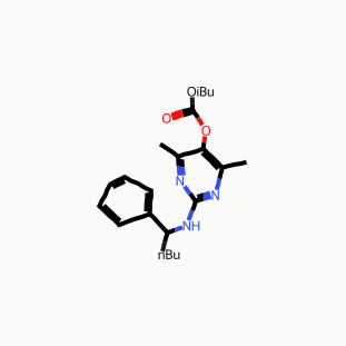 CCCCC(Nc1nc(C)c(OC(=O)OCC(C)C)c(C)n1)c1ccccc1